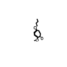 CCCCOc1ccc(OC)c(=O)cc1